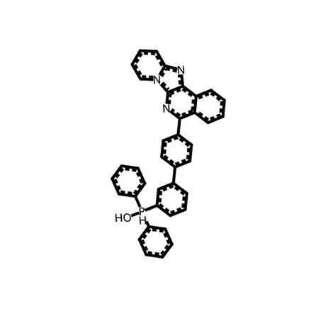 O[PH](c1ccccc1)(c1ccccc1)c1cccc(-c2ccc(-c3nc4c(nc5ccccn54)c4ccccc34)cc2)c1